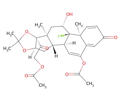 CC(=O)OCC(=O)[C@@]12OC(C)(C)O[C@@H]1C[C@H]1[C@@H]3C=C(OC(C)=O)C4=CC(=O)C=C[C@]4(C)[C@@]3(F)[C@@H](O)C[C@@]12C